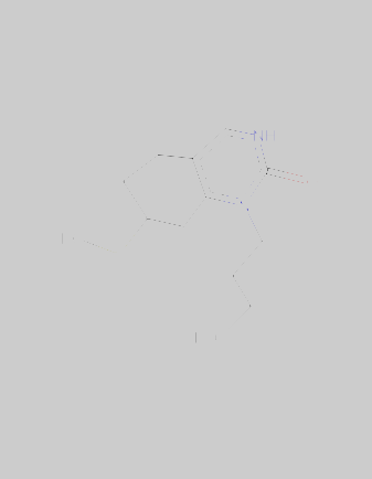 CCCC[n+]1c2c(c[nH]c1=O)CCC(SC)C2